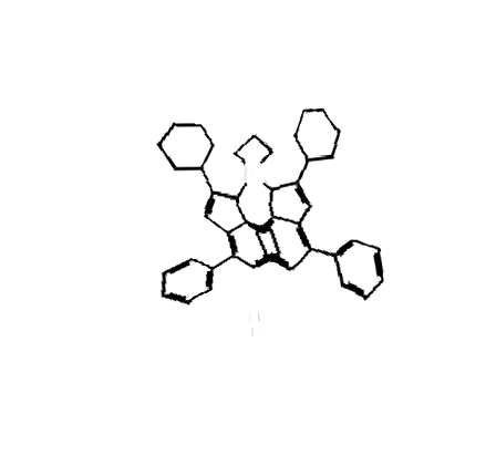 C1=C(C2CCCCC2)[CH]([Hf]2([CH]3C(C4CCCCC4)=Cc4c(-c5ccccc5)cccc43)[CH2]C[CH2]2)c2cccc(-c3ccccc3)c21.Cl.Cl